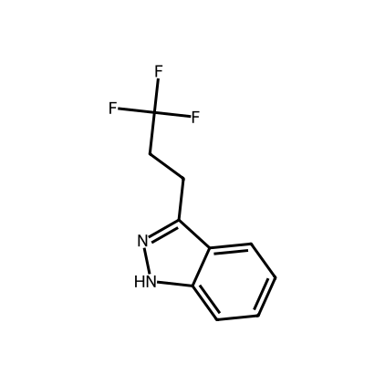 FC(F)(F)CCc1n[nH]c2ccccc12